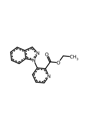 CCOC(=O)c1ncccc1-n1ncc2ccccc21